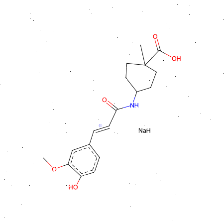 COc1cc(/C=C/C(=O)NC2CCC(C)(C(=O)O)CC2)ccc1O.[NaH]